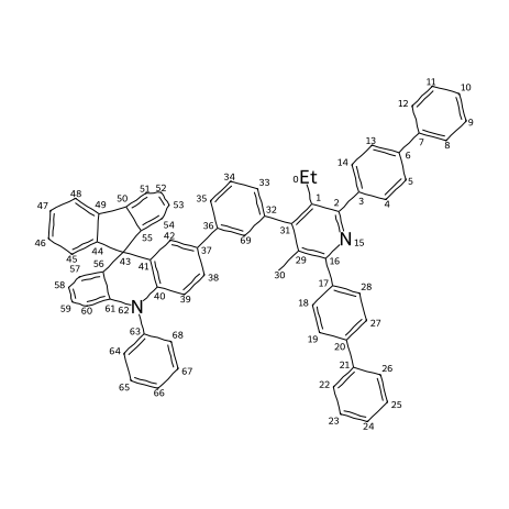 CCc1c(-c2ccc(-c3ccccc3)cc2)nc(-c2ccc(-c3ccccc3)cc2)c(C)c1-c1cccc(-c2ccc3c(c2)C2(c4ccccc4-c4ccccc42)c2ccccc2N3c2ccccc2)c1